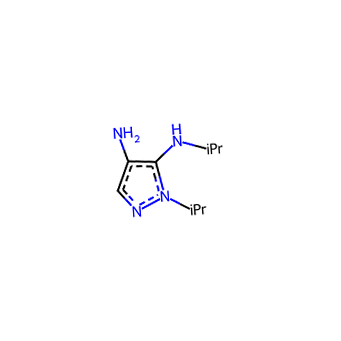 CC(C)Nc1c(N)cnn1C(C)C